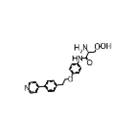 N[C@@H](COO)C(=O)Nc1ccc(OCCc2ccc(-c3ccncc3)cc2)cc1